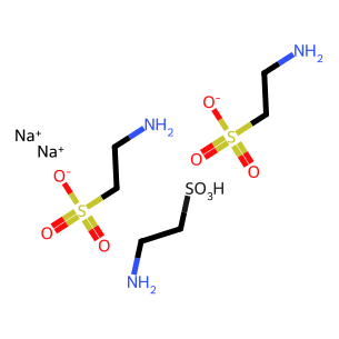 NCCS(=O)(=O)O.NCCS(=O)(=O)[O-].NCCS(=O)(=O)[O-].[Na+].[Na+]